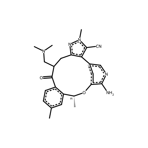 Cc1ccc2c(c1)[C@@H](C)Oc1cc(cnc1N)-c1c(nn(C)c1C#N)CC(CN(C)C)C2=O